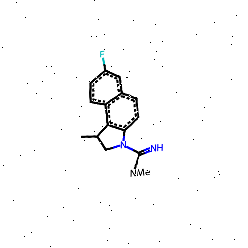 CNC(=N)N1CC(C)c2c1ccc1cc(F)ccc21